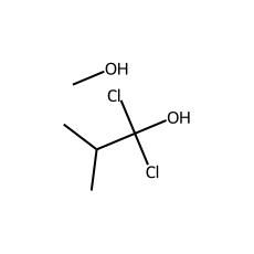 CC(C)C(O)(Cl)Cl.CO